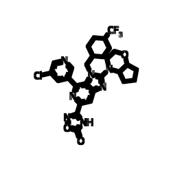 O=c1[nH]c(-c2cc3nc(N4CCOC5CCCC54)n(CC4CCC(C(F)(F)F)CC4)c3c(-c3cncc(Cl)c3)n2)no1